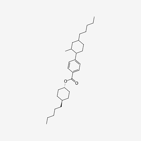 CCCCCC1CCC(c2ccc(C(=O)O[C@H]3CC[C@H](CCCCC)CC3)cc2)C(C)C1